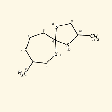 CC1CSC2(CCS1)SCC(C)S2